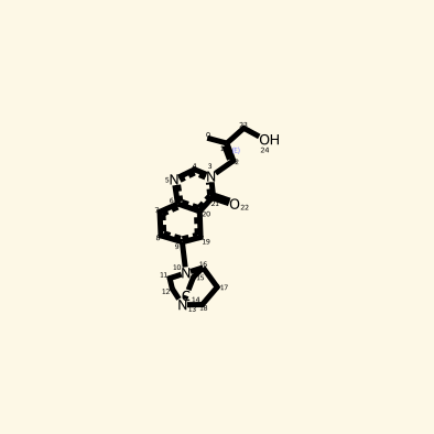 C/C(=C\n1cnc2ccc(N3CCN4CCC3CC4)cc2c1=O)CO